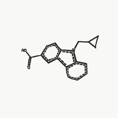 O=C(O)c1ccc2c(c1)c1ccccc1n2CC1CC1